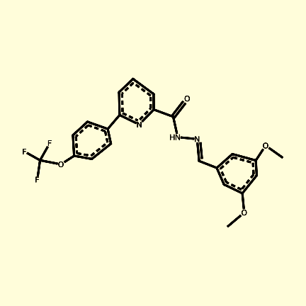 COc1cc(C=NNC(=O)c2cccc(-c3ccc(OC(F)(F)F)cc3)n2)cc(OC)c1